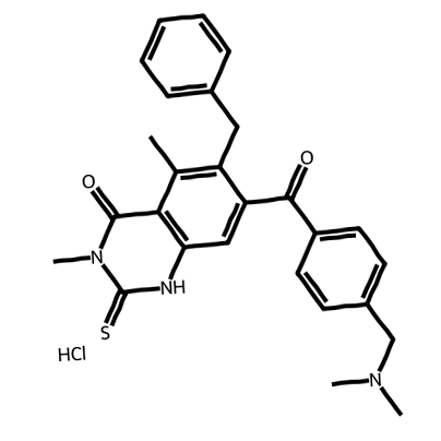 Cc1c(Cc2ccccc2)c(C(=O)c2ccc(CN(C)C)cc2)cc2[nH]c(=S)n(C)c(=O)c12.Cl